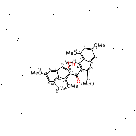 COCc1cc2cc(OC)cc(OC)c2c(OC)c1C(=O)c1c(O)cc2cc(OC)cc(OC)c2c1OC